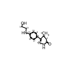 C[C@@H]1CC(=O)NN=C1c1ccc(NCCO)cc1